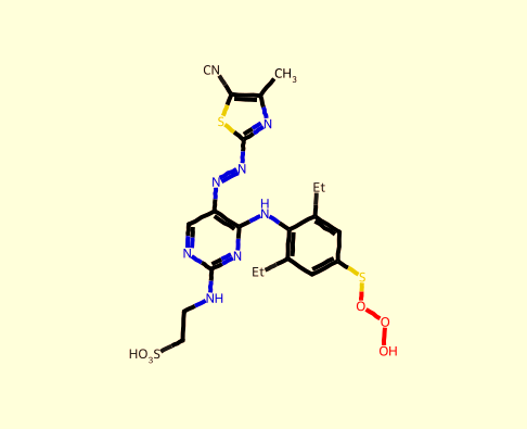 [C-]#[N+]c1sc(N=Nc2cnc(NCCS(=O)(=O)O)nc2Nc2c(CC)cc(SOOO)cc2CC)nc1C